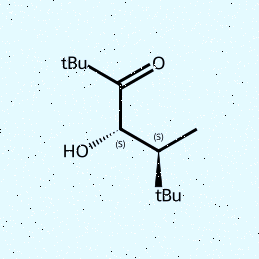 C[C@H]([C@H](O)C(=O)C(C)(C)C)C(C)(C)C